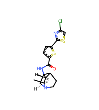 C[C@H]1[C@H](NC(=O)c2ccc(-c3nc(Cl)cs3)s2)C2CCN1CC2